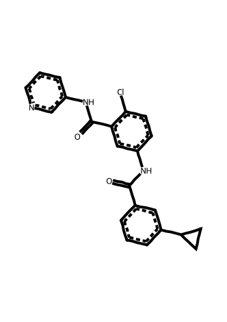 O=C(Nc1ccc(Cl)c(C(=O)Nc2cccnc2)c1)c1cccc(C2CC2)c1